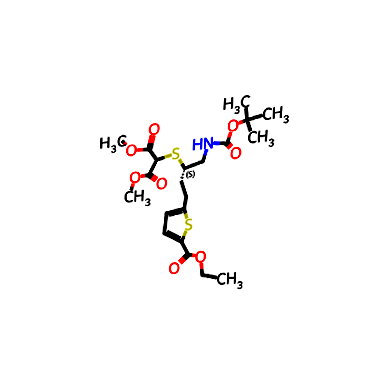 CCOC(=O)c1ccc(CC[C@@H](CNC(=O)OC(C)(C)C)SC(C(=O)OC)C(=O)OC)s1